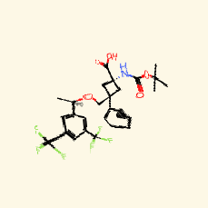 C[C@@H](OC[C@]1(c2ccccc2)C[C@](NC(=O)OC(C)(C)C)(C(=O)O)C1)c1cc(C(F)(F)F)cc(C(F)(F)F)c1